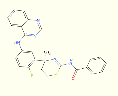 CC1(c2cc(Nc3ncnc4ccccc34)ccc2F)CCSC(NC(=O)c2ccccc2)=N1